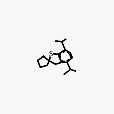 CC(C)c1ccc(C(C)C)c2c1CC1(CCCC1)S2